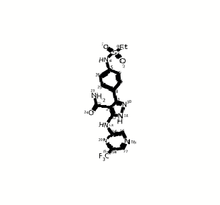 CCS(=O)(=O)Nc1ccc(-c2n[nH]c(Nc3cncc(C(F)(F)F)n3)c2C(N)=O)cc1